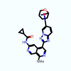 CNc1ncc(-c2nc3ccc(N4CC5CCC(C4)OC5)cn3n2)c2cc(NC(=O)C3CC3)ncc12